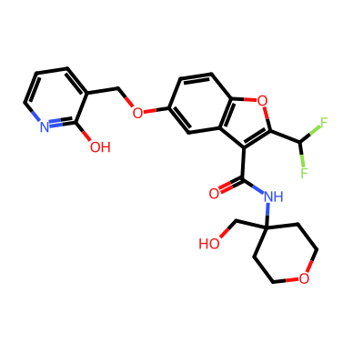 O=C(NC1(CO)CCOCC1)c1c(C(F)F)oc2ccc(OCc3cccnc3O)cc12